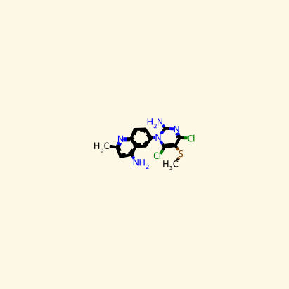 CSC1=C(Cl)N(c2ccc3nc(C)cc(N)c3c2)C(N)N=C1Cl